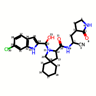 N#CC(CC1CCNC1=O)NC(=O)C1CC2(CCCCC2)CN1C(O)c1cc2ccc(Cl)cc2[nH]1